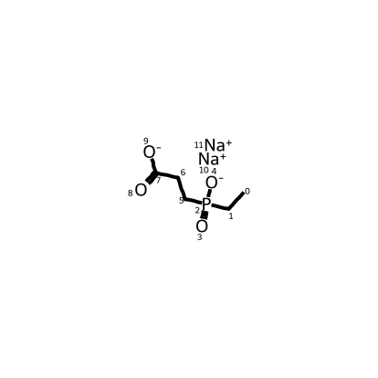 CCP(=O)([O-])CCC(=O)[O-].[Na+].[Na+]